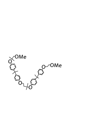 COCCOc1ccc(C(C)(C)c2ccc(OC(C)(C)CCOc3ccc(C(C)(C)c4ccc(OC(C)(C)COC)cc4)cc3)cc2)cc1